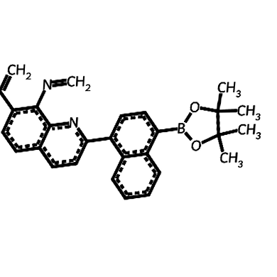 C=Cc1ccc2ccc(-c3ccc(B4OC(C)(C)C(C)(C)O4)c4ccccc34)nc2c1N=C